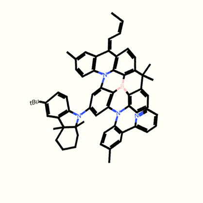 C/C=C\C=C1\c2cc(C)ccc2N2c3cc(N4c5ccc(C(C)(C)C)cc5C5(C)CCCCC45C)cc4c3B3c5c(cccc5C(C)(C)c5ccc1c2c53)N4c1ccc(C)cc1-c1ccccn1